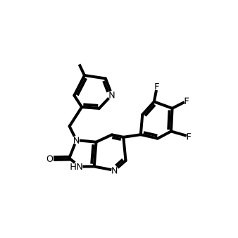 Cc1cncc(Cn2c(=O)[nH]c3ncc(-c4cc(F)c(F)c(F)c4)cc32)c1